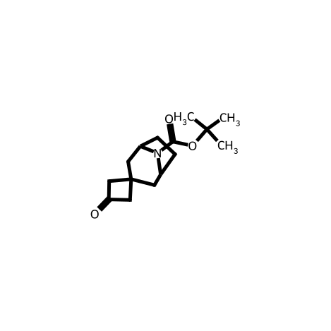 CC(C)(C)OC(=O)N1C2CCC1CC1(CC(=O)C1)C2